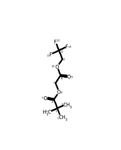 CC(C)(C)C(=O)OCC(=O)OCC(F)(F)F